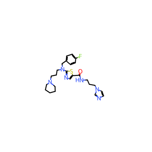 O=C(NCCCn1ccnc1)c1cnc(N(CCCN2CCCCC2)Cc2ccc(F)cc2)s1